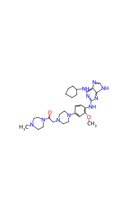 COc1cc(N2CCN(CC(=O)N3CCN(C)CC3)CC2)ccc1Nc1nc(NC2CCCCC2)c2nc[nH]c2n1